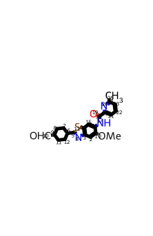 COc1cc2nc(C3CCC(C=O)CC3)sc2cc1NC(=O)c1cccc(C)n1